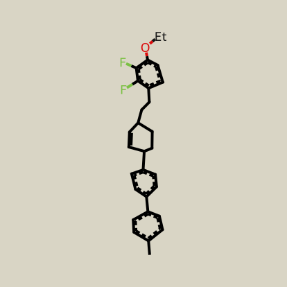 CCOc1ccc(CCC2C=CC(c3ccc(-c4ccc(C)cc4)cc3)CC2)c(F)c1F